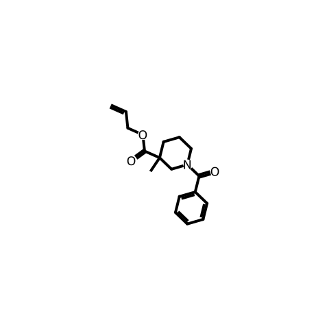 C=CCOC(=O)C1(C)CCCN(C(=O)c2ccccc2)C1